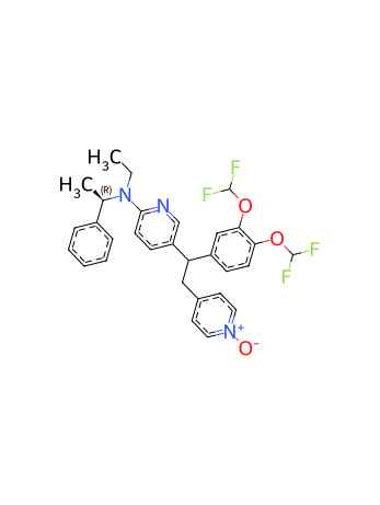 CCN(c1ccc(C(Cc2cc[n+]([O-])cc2)c2ccc(OC(F)F)c(OC(F)F)c2)cn1)[C@H](C)c1ccccc1